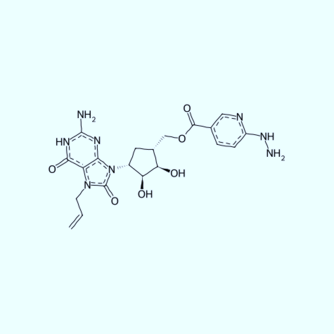 C=CCn1c(=O)n([C@@H]2C[C@H](COC(=O)c3ccc(NN)nc3)[C@@H](O)[C@H]2O)c2nc(N)[nH]c(=O)c21